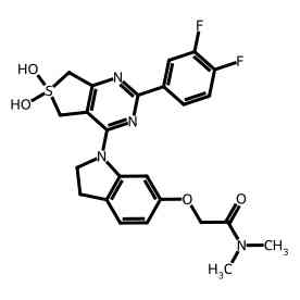 CN(C)C(=O)COc1ccc2c(c1)N(c1nc(-c3ccc(F)c(F)c3)nc3c1CS(O)(O)C3)CC2